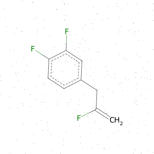 C=C(F)Cc1ccc(F)c(F)c1